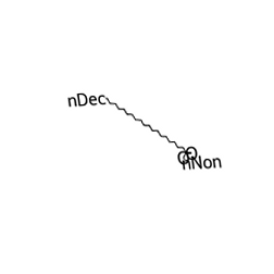 CCCCCCCCCCCCCCCCCCCCCCCCCCCCCC(=O)OCCCCCCCCC